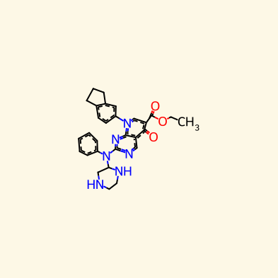 CCOC(=O)c1cn(-c2ccc3c(c2)CCC3)c2nc(N(c3ccccc3)C3CNCCN3)ncc2c1=O